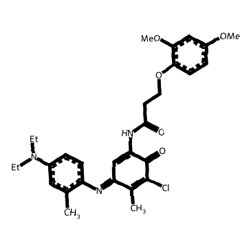 CCN(CC)c1ccc(/N=C2\C=C(NC(=O)CCOc3ccc(OC)cc3OC)C(=O)C(Cl)=C2C)c(C)c1